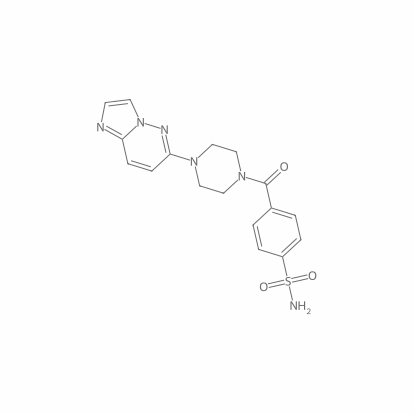 NS(=O)(=O)c1ccc(C(=O)N2CCN(c3ccc4nccn4n3)CC2)cc1